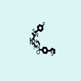 C[C@@H]1c2nnc(-c3csc(-c4ccc(F)cc4)n3)n2CCN1C(=O)c1ccc(-c2cccs2)cc1